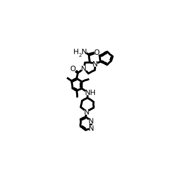 Cc1cc(C)c(C(=O)N2CCN(c3ccccc3)C(C(N)=O)C2)c(C)c1NC1CCN(c2cccnn2)CC1